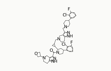 O=C(c1n[nH]c2c1CN(C1COC1)CC2)N1CCC(c2cccc(F)c2Cl)CC1C1CC1CN1CCc2[nH]nc(CN3CCC(c4cccc(F)c4Cl)CC3)c2C1